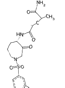 CC(C[CH]C(=O)N[C@H]1CCCN(S(=O)(=O)c2cccc(F)c2)CC1=O)C(N)=O